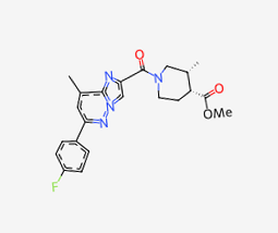 COC(=O)[C@@H]1CCN(C(=O)c2cn3nc(-c4ccc(F)cc4)cc(C)c3n2)C[C@@H]1C